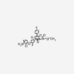 CCOCCN(C=O)/C=C(/C(=O)Nc1ccc(Oc2ccnc(N)c2Cl)c(F)c1)C(=O)N(C)c1ccc(F)cc1